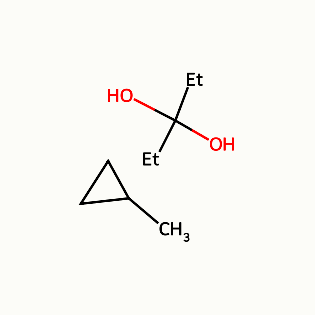 CC1CC1.CCC(O)(O)CC